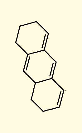 [C]1=CCCC2C=C3CCCC=C3C=C12